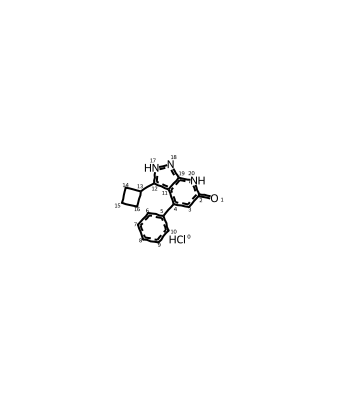 Cl.O=c1cc(-c2ccccc2)c2c(C3CCC3)[nH]nc2[nH]1